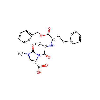 C[C@H](N[C@@H](CCc1ccccc1)C(=O)OCc1ccccc1)C(=O)N1C(=O)N(C)C[C@H]1C(=O)O